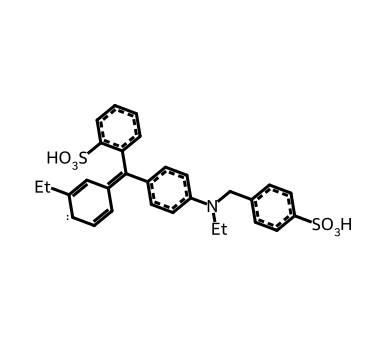 CCC1=CC(=C(c2ccc(N(CC)Cc3ccc(S(=O)(=O)O)cc3)cc2)c2ccccc2S(=O)(=O)O)C=C[C]1